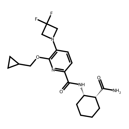 NC(=O)[C@@H]1CCCC[C@@H]1NC(=O)c1ccc(N2CC(F)(F)C2)c(OCC2CC2)n1